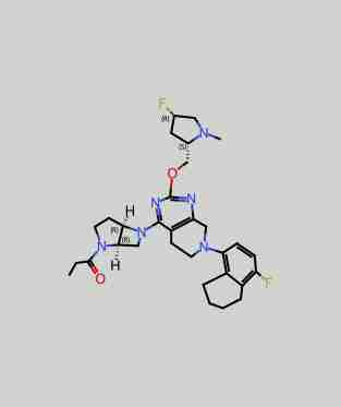 CCC(=O)N1CC[C@@H]2[C@H]1CN2c1nc(OC[C@@H]2C[C@@H](F)CN2C)nc2c1CCN(c1ccc(F)c3c1CCCC3)C2